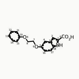 O=C(O)c1cc2cc(OCCOc3ccccc3)ccc2[nH]1